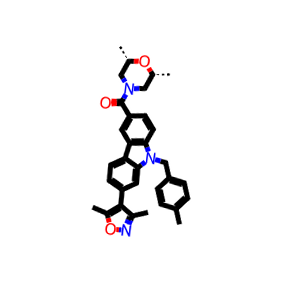 Cc1ccc(Cn2c3ccc(C(=O)N4C[C@@H](C)O[C@@H](C)C4)cc3c3ccc(-c4c(C)noc4C)cc32)cc1